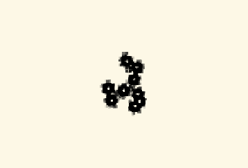 c1ccc2c(c1)ccc1ccc(N(c3ccc(-c4cccc5c4oc4ccccc45)cc3)c3ccc(-n4c5ccccc5c5ccccc54)cc3)cc12